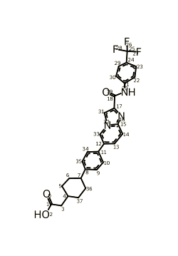 O=C(O)CC1CCC(c2ccc(-c3ccc4nc(C(=O)Nc5ccc(C(F)(F)F)cc5)cn4c3)cc2)CC1